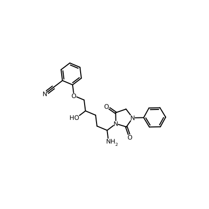 N#Cc1ccccc1OCC(O)CCC(N)N1C(=O)CN(c2ccccc2)C1=O